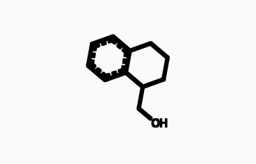 OCC1CCCc2ccccc21